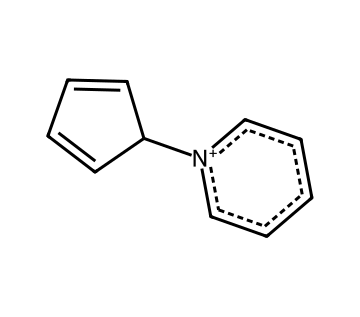 C1=CC([n+]2ccccc2)C=C1